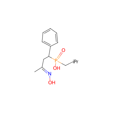 CC(CC(c1ccccc1)P(=O)(O)CC(C)C)=NO